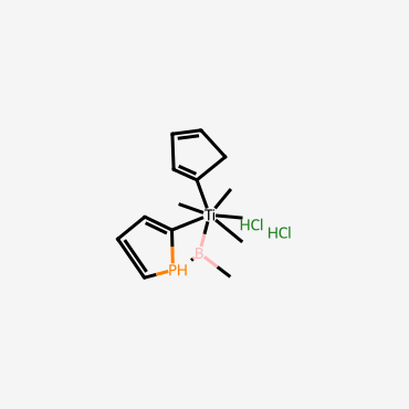 C[B](C)[Ti]([CH3])([CH3])([CH3])([CH3])([C]1=CC=CC1)[c]1ccc[pH]1.Cl.Cl